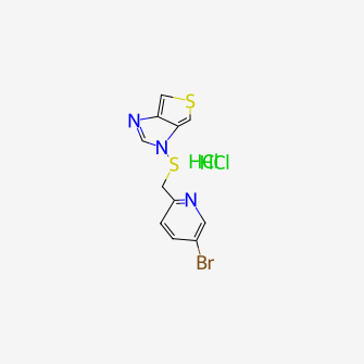 Brc1ccc(CSn2cnc3cscc32)nc1.Cl.Cl